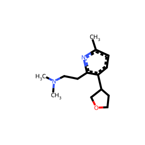 Cc1ccc(C2CCOC2)c(CCN(C)C)n1